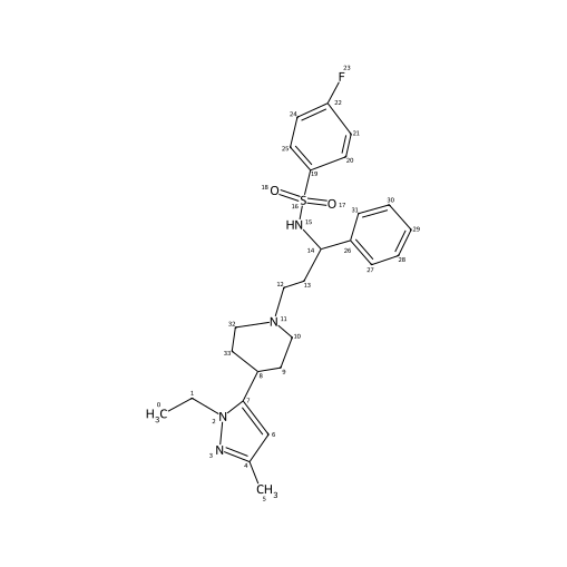 CCn1nc(C)cc1C1CCN(CCC(NS(=O)(=O)c2ccc(F)cc2)c2ccccc2)CC1